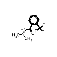 CN(C)NC(=O)c1ccccc1C(F)(F)F